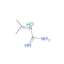 CC(C)=NC(=N)N.Cl